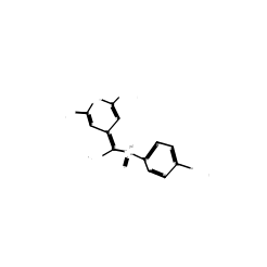 CC1=CC(=C(C#N)S(=O)(=O)c2ccc(C)cc2)C=C(C)O1